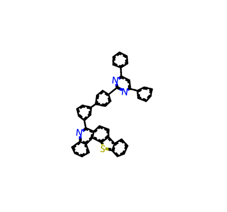 c1ccc(-c2cc(-c3ccccc3)nc(-c3ccc(-c4cccc(-c5nc6ccccc6c6c5ccc5c7ccccc7sc56)c4)cc3)n2)cc1